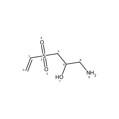 C=CS(=O)(=O)CC(O)CN